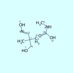 CC(C)(C=NO)CO.CNC(=O)O